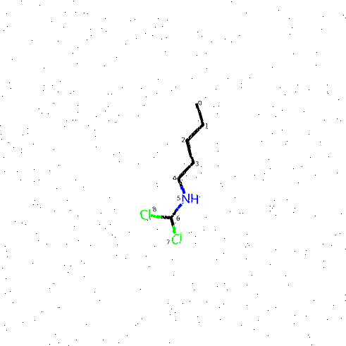 CCCCCNC(Cl)Cl